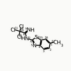 Cc1ccc2nc(NC(=N)C(Cl)(Cl)Cl)sc2c1